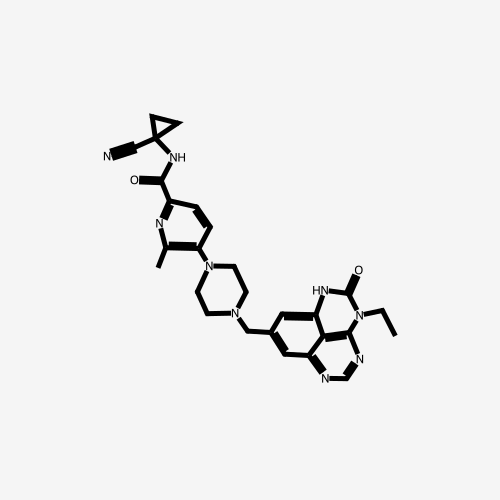 CCN1C(=O)Nc2cc(CN3CCN(c4ccc(C(=O)NC5(C#N)CC5)nc4C)CC3)cc3ncnc1c23